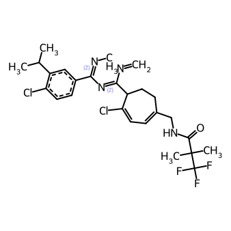 C=N/C(=N\C(=N/C)c1ccc(Cl)c(C(C)C)c1)C1CCC(CNC(=O)C(C)(C)C(F)(F)F)=CC=C1Cl